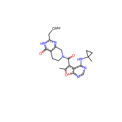 COCc1nc2c(c(=O)[nH]1)CCN(C(=O)c1c(C)oc3ncnc(NC4(C)CC4)c13)C2